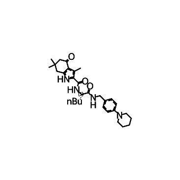 CCCC[C@H](NC(=O)c1[nH]c2c(c1C)C(=O)CC(C)(C)C2)C(=O)NCc1ccc(N2CCCCC2)cc1